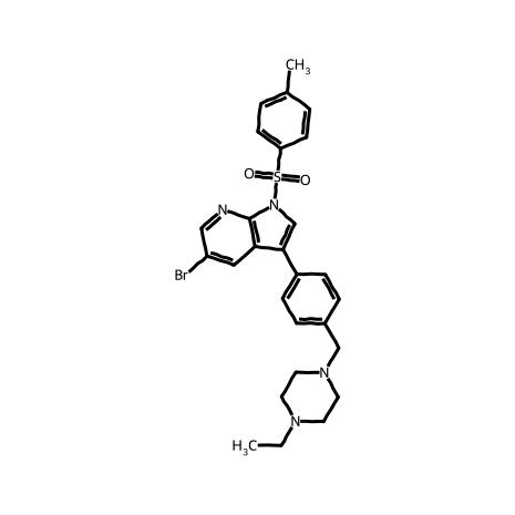 CCN1CCN(Cc2ccc(-c3cn(S(=O)(=O)c4ccc(C)cc4)c4ncc(Br)cc34)cc2)CC1